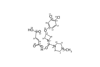 CN1CCN(C(=O)N2CC(Oc3ccc(Cl)c(Cl)c3)C2)CC1.O=C(O)C=CC(=O)O